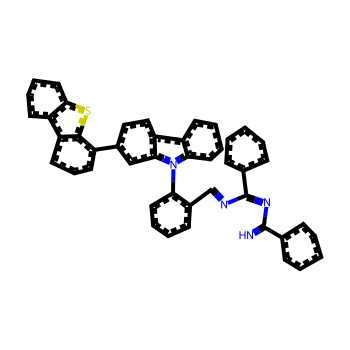 N=C(/N=C(\N=C\c1ccccc1-n1c2ccccc2c2ccc(-c3cccc4c3sc3ccccc34)cc21)c1ccccc1)c1ccccc1